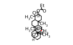 CCC(=O)O[C@H]1CC[C@@]2(C)C(CC[C@]3(C)C2CC[C@@H]2C4[C@H]5O[C@@]4(CCC5(C)C)CC[C@]23C)C1(C)C